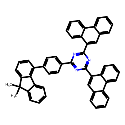 CC1(C)c2ccccc2-c2c(-c3ccc(-c4nc(-c5cc6ccccc6c6ccccc56)nc(-c5cc6ccccc6c6ccccc56)n4)cc3)cccc21